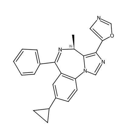 C[C@@H]1N=C(c2ccccc2)c2cc(C3CC3)ccc2-n2cnc(-c3cnco3)c21